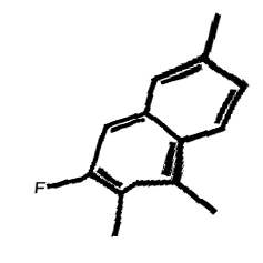 Cc1ccc2c(C)c(C)c(F)cc2c1